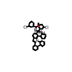 C=C/C(=N\C(N)(c1cccc(Cl)c1)c1ccc2cc3c4ccccc4c4ccccc4n3c2c1-c1ccccc1N)c1cccc(Cl)c1